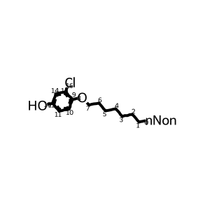 CCCCCCCCCCCCCCCCOc1ccc(O)cc1Cl